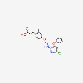 Cc1cc(OCCNc2ncc(Cl)cc2Oc2ccccc2)ccc1CCC(=O)O